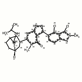 CC(C)N[C@@H]1C[C@H]2CCC1CN(c1nc3[nH]nc(-c4ccc5nn(C)c(Cl)c5c4Cl)c3c(=O)n1C)C2